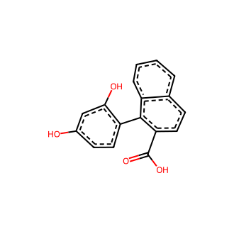 O=C(O)c1ccc2ccccc2c1-c1ccc(O)cc1O